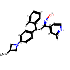 COC1CN(c2ccc([C@@H](C/C(=N/O)c3ccnc(C)c3)c3ccccc3C)cc2)C1